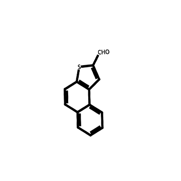 O=Cc1cc2c(ccc3ccccc32)s1